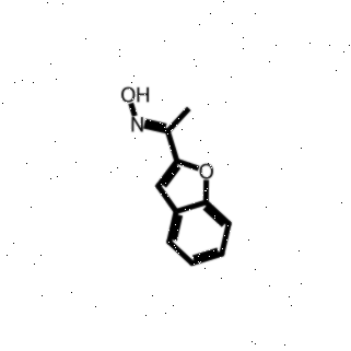 CC(=NO)c1cc2ccccc2o1